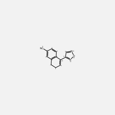 N#Cc1ccc2c(c1)CCC=C2c1cnon1